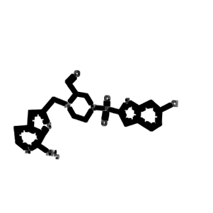 Nc1nccc2cc(CN3CCN(S(=O)(=O)c4cc5ccc(Cl)cc5s4)CC3C=O)sc12